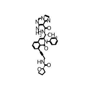 C[C@@H](NC(=O)c1c(N)ncn2ccnc12)c1cc2cccc(C#CCNC(=O)[C@H]3CCCO3)c2c(=O)n1-c1ccccc1